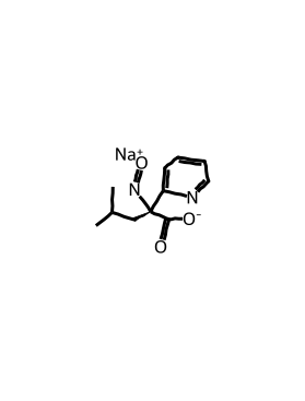 CC(C)C[C@](N=O)(C(=O)[O-])c1ccccn1.[Na+]